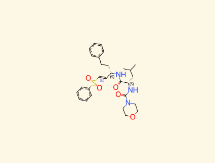 CC(C)C[C@H](NC(=O)N1CCOCC1)C(=O)N[C@H](/C=C/S(=O)(=O)c1ccccc1)CCc1ccccc1